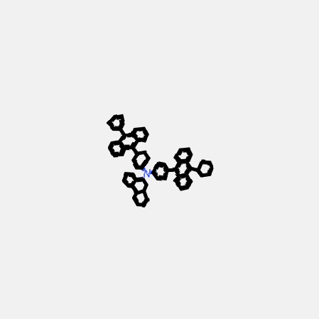 C1=CCC(c2c3ccccc3c(-c3ccc(N(C4=CCC(c5c6ccccc6c(-c6ccccc6)c6ccccc56)C=C4)C4=c5ccccc5=C5C=CC=CC5C4)cc3)c3ccccc23)C=C1